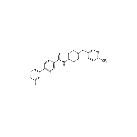 O=C(NC1CCN(Cc2ccc(C(F)(F)F)nc2)CC1)c1ccc(-c2cccc(F)c2)nc1